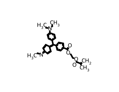 C=C(C)C(=O)OCCOC(=O)c1ccc(C(=C2C=CC(=NCC)C=C2)c2ccc(N(CC)CC)cc2)cc1